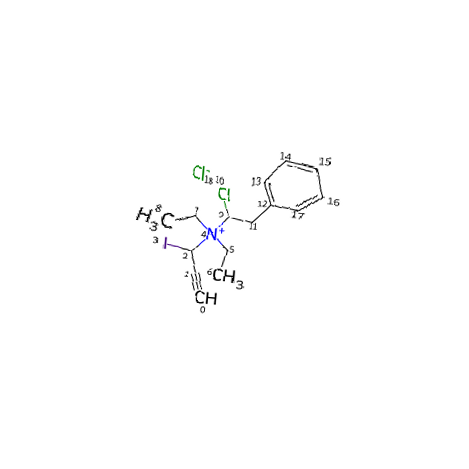 C#CC(I)[N+](CC)(CC)C(Cl)Cc1ccccc1.[Cl-]